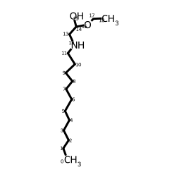 CCCCCCCCCCCCNCC(O)OCC